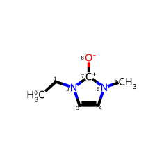 CCn1ccn(C)[c+]1[O-]